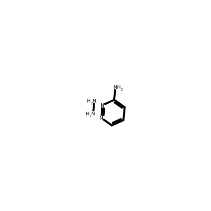 NN.Nc1cccnn1